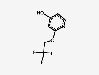 Oc1ccnc(OCC(F)(F)F)c1